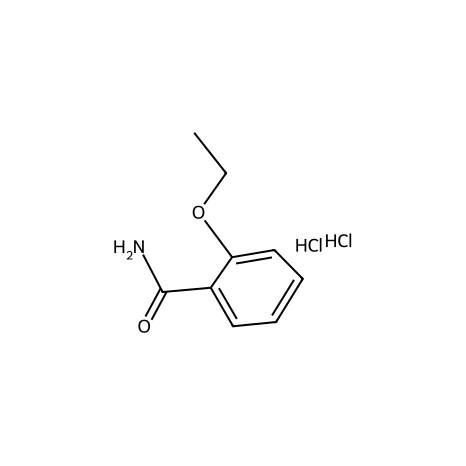 CCOc1ccccc1C(N)=O.Cl.Cl